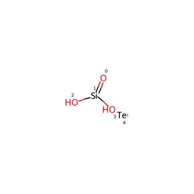 O=[Si](O)O.[Te]